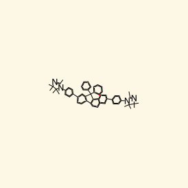 CC1=NC(C)(C)C(C)(C)N1c1ccc(-c2ccc3c(c2)C(c2ccccc2)(c2ccccc2)c2c-3ccc3cc(-c4ccc(N5C(C)=NC(C)(C)C5(C)C)cc4)ccc23)cc1